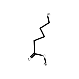 [2H]OC(=O)CCCCC(C)C